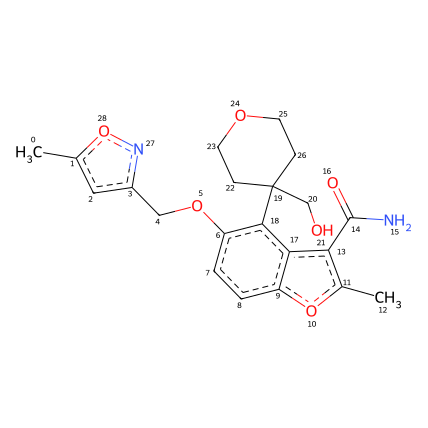 Cc1cc(COc2ccc3oc(C)c(C(N)=O)c3c2C2(CO)CCOCC2)no1